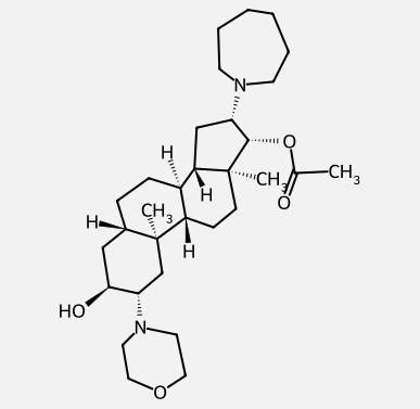 CC(=O)O[C@H]1[C@@H](N2CCCCCC2)C[C@H]2[C@@H]3CC[C@H]4C[C@H](O)[C@@H](N5CCOCC5)C[C@]4(C)[C@H]3CC[C@@]21C